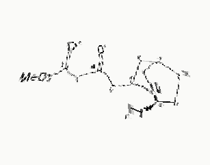 COC(=O)CC(=O)CC1CC2CC[C@H]1C2